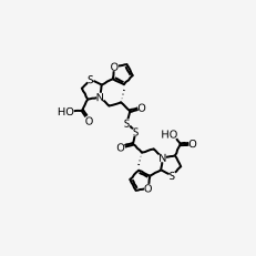 C[C@@H](CN1C(C(=O)O)CSC1c1ccco1)C(=O)SSC(=O)[C@@H](C)CN1C(C(=O)O)CSC1c1ccco1